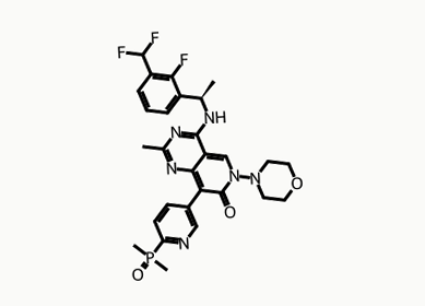 Cc1nc(N[C@H](C)c2cccc(C(F)F)c2F)c2cn(N3CCOCC3)c(=O)c(-c3ccc(P(C)(C)=O)nc3)c2n1